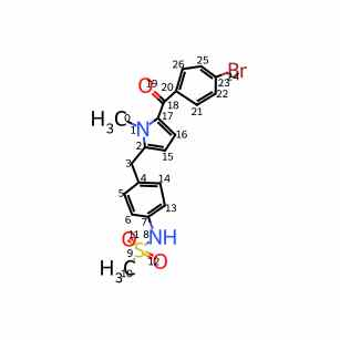 Cn1c(Cc2ccc(NS(C)(=O)=O)cc2)ccc1C(=O)c1ccc(Br)cc1